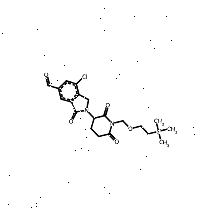 C[Si](C)(C)CCOCN1C(=O)CCC(N2Cc3c(Cl)cc(C=O)cc3C2=O)C1=O